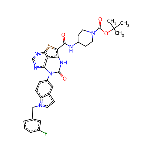 CC(C)(C)OC(=O)N1CCC(NC(=O)c2sc3ncnc4c3c2NC(=O)N4c2ccc3c(ccn3Cc3cccc(F)c3)c2)CC1